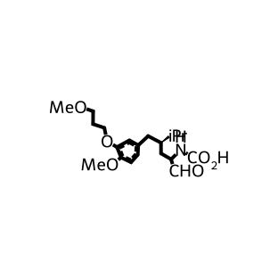 COCCCOc1cc(C[C@H](CC(C=O)NC(=O)O)C(C)C)ccc1OC